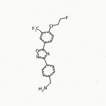 NCc1ccc(-c2noc(-c3ccc(OCCF)c(C(F)(F)F)c3)n2)cc1